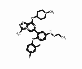 CCSNc1ccc(Oc2ccc(F)cc2F)c(-c2cn3c(C)nnc3c(NC3CCN(C)CC3)n2)c1